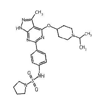 Cc1n[nH]c2nc(-c3ccc(NS(=O)(=O)N4CCCC4)cc3)nc(OC3CCN(C(C)C)CC3)c12